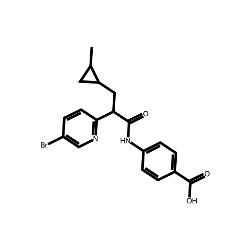 CC1CC1CC(C(=O)Nc1ccc(C(=O)O)cc1)c1ccc(Br)cn1